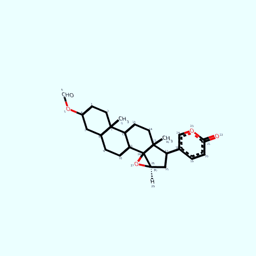 CC12CCC(OC=O)CC1CCC1C2CCC2(C)C(c3ccc(=O)oc3)C[C@H]3OC132